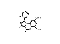 COc1cc(OC)c2nc(C)c3c(C)nc(-c4ccccc4C)n3c2c1